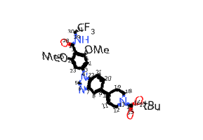 COc1cc(-n2cnc3cc(C4=CCN(C(=O)OC(C)(C)C)CC4)ccc32)cc(OC)c1C(=O)NCC(F)(F)F